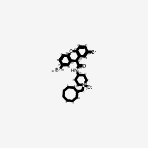 CC[N+]1(CC2CCCCCCC2)CCC(NC(=O)C2c3cc(Br)ccc3Oc3ccc(Br)cc32)CC1.[I-]